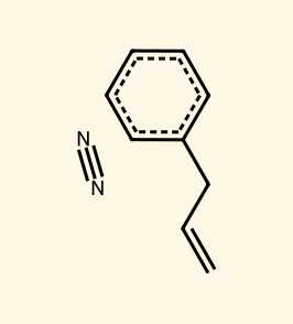 C=CCc1ccccc1.N#N